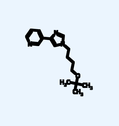 CC(C)(C)OCCCCn1cnc(-c2cccnc2)c1